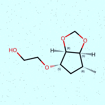 C[C@@H]1C[C@H](OCCO)[C@H]2OCO[C@H]21